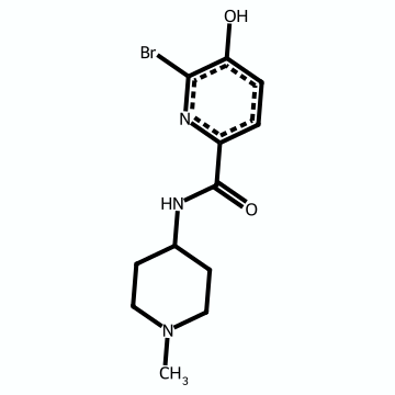 CN1CCC(NC(=O)c2ccc(O)c(Br)n2)CC1